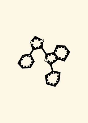 c1ccc(-c2scnc2-c2oc(-c3ccccc3)c3ccccc23)cc1